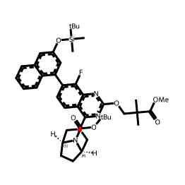 COC(=O)C(C)(C)COc1nc(N2C[C@H]3CC[C@@H](C2)N3C(=O)OC(C)(C)C)c2ccc(-c3cc(O[Si](C)(C)C(C)(C)C)cc4ccccc34)c(F)c2n1